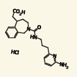 Cl.Nc1cccc(CCCNC(=O)N2CCC(CC(=O)O)c3ccccc3C2)n1